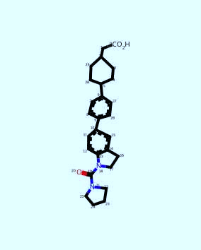 O=C(O)CC1CCC(c2ccc(-c3ccc4c(c3)CCN4C(=O)N3CCCC3)cc2)CC1